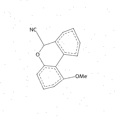 COc1cccc2c1-c1ccccc1C(C#N)O2